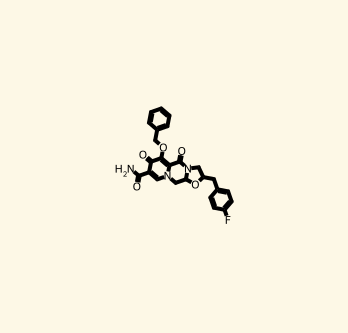 NC(=O)c1cn2c(c(OCc3ccccc3)c1=O)C(=O)N1CC(Cc3ccc(F)cc3)OC1C2